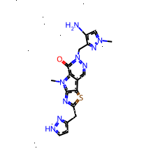 Cn1cc(N)c(Cn2ncc3c4sc(Cc5cc[nH]n5)nc4n(C)c3c2=O)n1